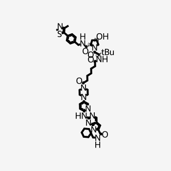 Cc1ncsc1-c1ccc(CNC(=O)[C@@H]2C[C@@H](O)CN2C(=O)[C@@H](NC(=O)CCCCCC(=O)N2CCN(c3ccc(Nc4ncc5cc6n(c5n4)C4(CCCCC4)CNC6=O)nc3)CC2)C(C)(C)C)cc1